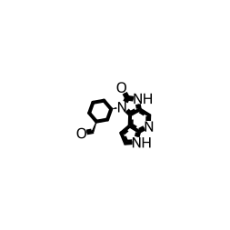 O=C[C@H]1CCC[C@H](n2c(=O)[nH]c3cnc4[nH]ccc4c32)C1